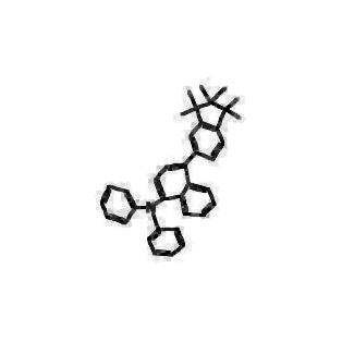 CC1(C)c2ccc(-c3ccc(N(c4ccccc4)c4ccccc4)c4ccccc34)cc2C(C)(C)C1(C)C